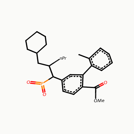 CCCC(CC1CCCCC1)C(c1ccc(C(=O)OC)c(-c2ccccc2C)c1)P(=O)=O